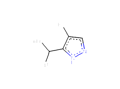 CCCC(CC)c1[nH]ncc1CC